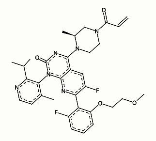 C=CC(=O)N1CCN(c2nc(=O)n(-c3c(C)ccnc3C(C)C)c3nc(-c4c(F)cccc4OCCOC)c(F)cc23)[C@@H](C)C1